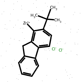 CC(C)(C)c1ccc2c([c]1[Zr+2])Cc1ccccc1-2.[Cl-].[Cl-]